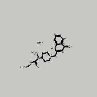 CCOC(=O)N(C)C1CCN(Cc2cc(=O)c3ccccc3o2)CC1.Cl